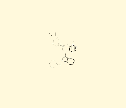 Cc1cccc(C(CC(=O)N2CCC(CN)CC2)c2cn(CC3CCCCC3)c3ccccc23)c1.Cl